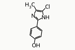 Cc1nc(-c2ccc(O)cc2)[nH]c1Cl